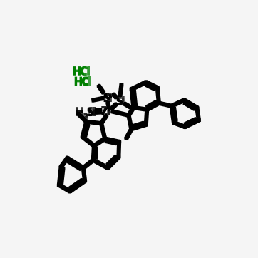 CC1=Cc2c(-c3ccccc3)cccc2[CH]1[Zr](=[SiH2])([CH]1C(C)=Cc2c(-c3ccccc3)cccc21)([Si](C)(C)C)[Si](C)(C)C.Cl.Cl